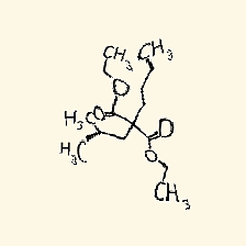 CCCCC(CC(C)C)(C(=O)OCC)C(=O)OCC